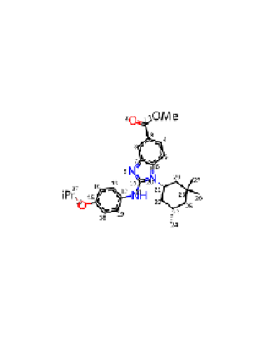 COC(=O)c1ccc2c(c1)nc(Nc1ccc(OC(C)C)cc1)n2[C@H]1C[C@@H](C)CC(C)(C)C1